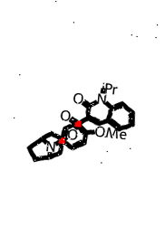 COc1ccc(N2C3CCC2CC(OC(=O)c2cc4ccccc4n(C(C)C)c2=O)C3)cc1